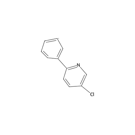 Clc1ccc(-c2c[c]ccc2)nc1